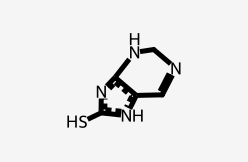 Sc1nc2c([nH]1)C=NCN2